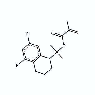 C=C(C)C(=O)OC(C)(C)C1CCCc2c(F)cc(F)cc21